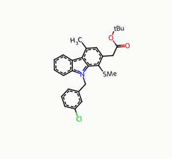 CSc1c(CC(=O)OC(C)(C)C)cc(C)c2c3ccccc3n(Cc3cccc(Cl)c3)c12